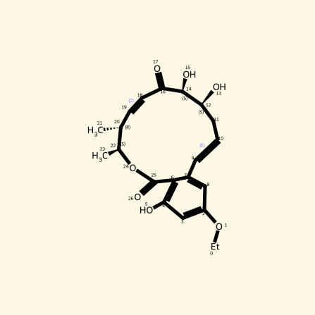 CCOc1cc(O)c2c(c1)/C=C/C[C@H](O)[C@H](O)C(=O)/C=C\[C@@H](C)[C@H](C)OC2=O